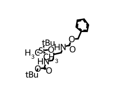 CC(C)(C)OC(=O)NC[C@H](CNC(=O)OCc1ccccc1)O[Si](C)(C)C(C)(C)C